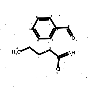 CCCCC(=N)Cl.O=Cc1ccccc1